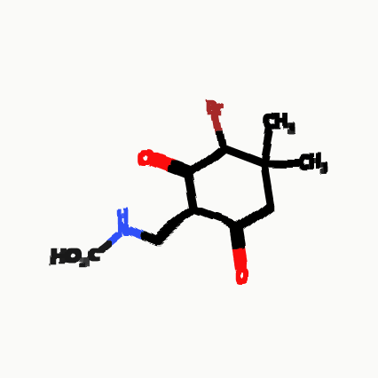 CC1(C)CC(=O)C(CNC(=O)O)C(=O)C1Br